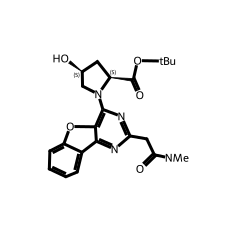 CNC(=O)Cc1nc(N2C[C@@H](O)C[C@H]2C(=O)OC(C)(C)C)c2oc3ccccc3c2n1